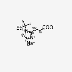 CCC(C)(C)n1ncnc1SCC(=O)[O-].[Na+]